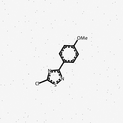 COc1ccc(-c2nsc(Cl)n2)cc1